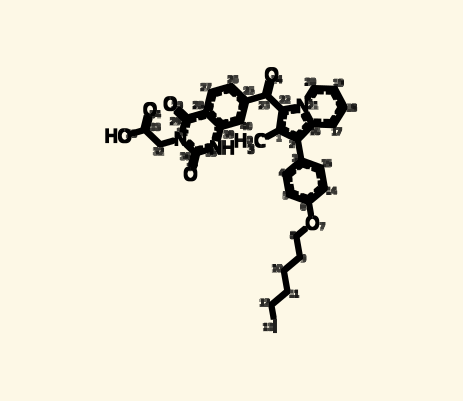 Cc1c(-c2ccc(OCCCCCI)cc2)c2ccccn2c1C(=O)c1ccc2c(=O)n(CC(=O)O)c(=O)[nH]c2c1